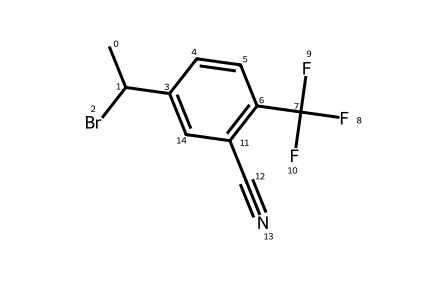 CC(Br)c1ccc(C(F)(F)F)c(C#N)c1